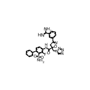 N=C(N)c1cccc(C2=NOC(Cn3cnnn3)(C(=O)Nc3ccc(-c4ccccc4)c(S(N)(=O)=O)c3F)C2)c1